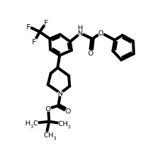 CC(C)(C)OC(=O)N1CCC(c2cc(NC(=O)Oc3ccccc3)cc(C(F)(F)F)c2)CC1